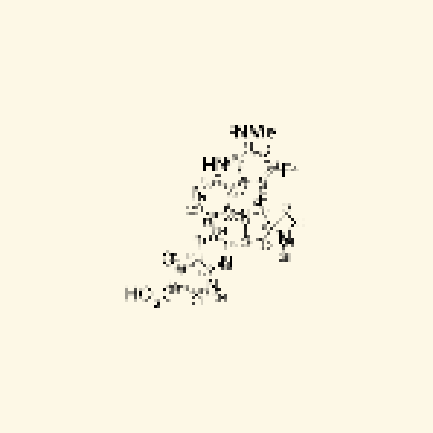 CNc1cc(F)c(F)c2c1[nH]c1ncc(-c3cnc4c(c3)c(=O)c(C(=O)O)cn4C)c(N3CCC4(CCN4C)C3)c12